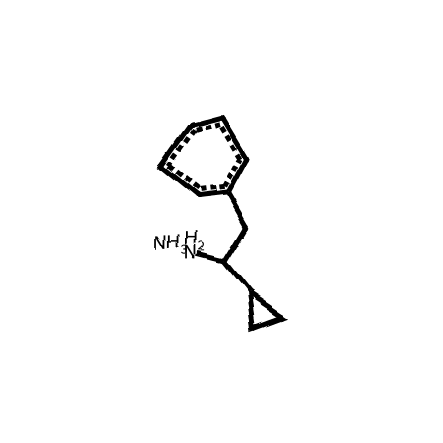 N.NC(Cc1ccccc1)C1CC1